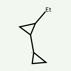 CCC1CC1[C]1CC1